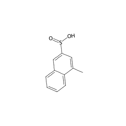 Cc1cc(S(=O)O)cc2ccccc12